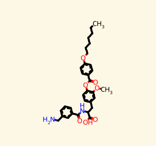 CCCCCCCOc1ccc(C(=O)Oc2ccc(CC(NC(=O)c3cccc(CN)c3)C(=O)O)cc2OC)cc1